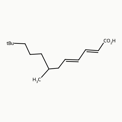 CC(CC=CC=CC(=O)O)CCCC(C)(C)C